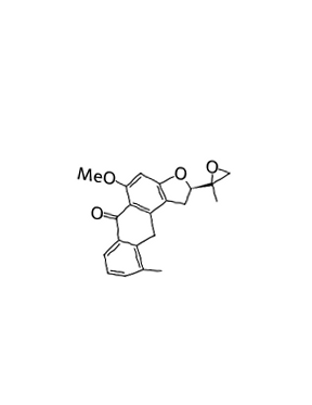 COc1cc2c(c3c1C(=O)c1cccc(C)c1C3)C[C@H](C1(C)CO1)O2